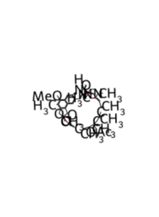 COc1c(C)c2c3c4cc(/C=N/N5CCN(C)CC5)c(cc14)NC(=O)/C(C)=C/C=C/C(C)CC(C)CC(C)C(OC(C)=O)C(C)C/C=C\OC(C)(O2)C3=O